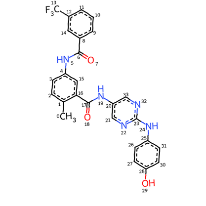 Cc1ccc(NC(=O)c2cccc(C(F)(F)F)c2)cc1C(=O)Nc1cnc(Nc2ccc(O)cc2)nc1